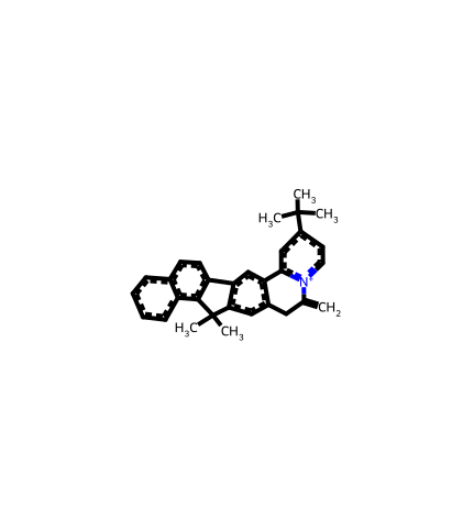 C=C1Cc2cc3c(cc2-c2cc(C(C)(C)C)cc[n+]21)-c1ccc2ccccc2c1C3(C)C